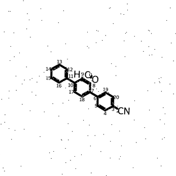 C=O.N#Cc1ccc(-c2ccc(-c3ccccc3)cc2)cc1